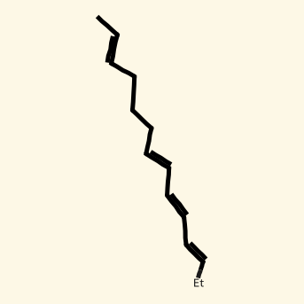 C/C=C/CCC/C=C/C=C/C=C/CC